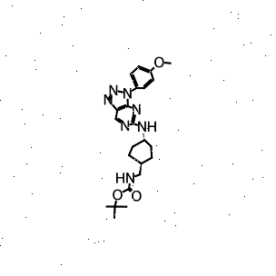 COc1ccc(-n2nnc3cnc(N[C@H]4CC[C@H](CNC(=O)OC(C)(C)C)CC4)nc32)cc1